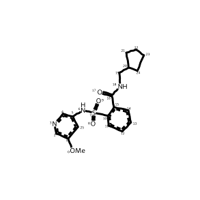 COc1cncc(NS(=O)(=O)c2ccccc2C(=O)NCC2CCCC2)c1